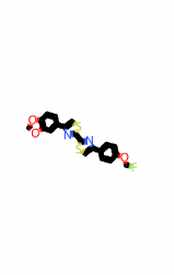 FCOc1ccc(-c2csc(-c3nc(-c4ccc5c(c4)OCO5)cs3)n2)cc1